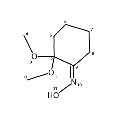 COC1(OC)CCCCC1=NO